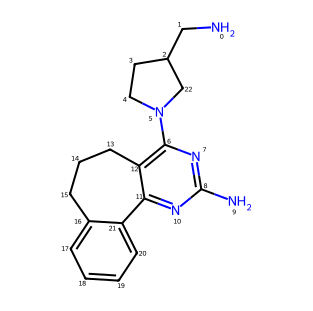 NCC1CCN(c2nc(N)nc3c2CCCc2ccccc2-3)C1